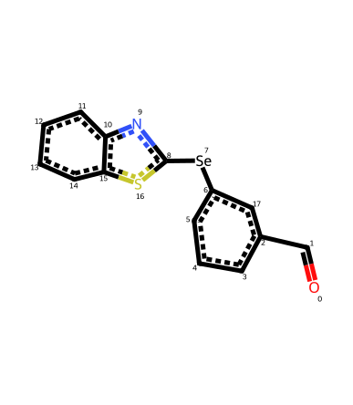 O=Cc1cccc([Se]c2nc3ccccc3s2)c1